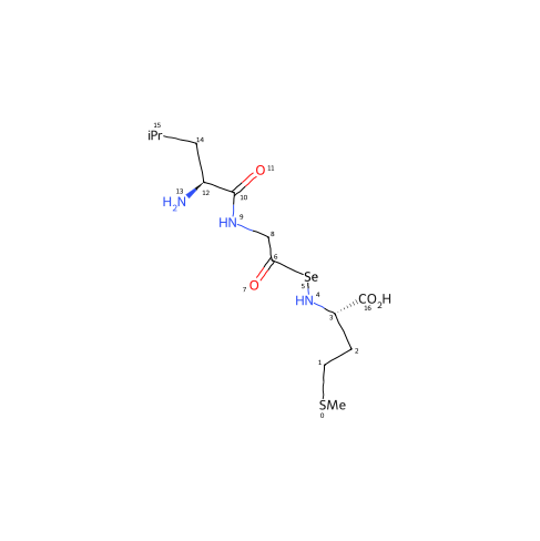 CSCC[C@H](N[Se]C(=O)CNC(=O)[C@@H](N)CC(C)C)C(=O)O